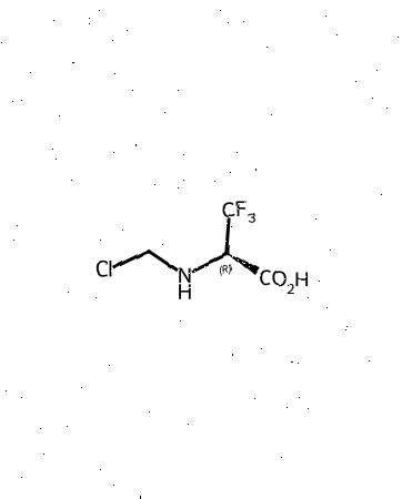 O=C(O)[C@@H](NCCl)C(F)(F)F